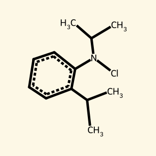 CC(C)c1ccccc1N(Cl)C(C)C